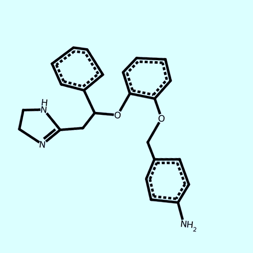 Nc1ccc(COc2ccccc2OC(CC2=NCCN2)c2ccccc2)cc1